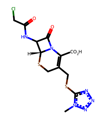 Cn1nnnc1SCC1=C(C(=O)O)N2C(=O)C(NC(=O)CCl)[C@H]2SC1